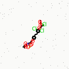 COCOC(CCl)COc1c(Cl)cc(CCc2ccc(OCC(=O)CN(C(=O)OC(C)(C)C)S(C)(=O)=O)cc2)cc1Cl